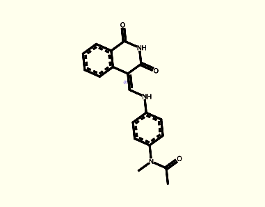 CC(=O)N(C)c1ccc(N/C=C2\C(=O)NC(=O)c3ccccc32)cc1